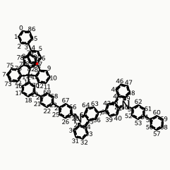 c1ccc(-c2ccc(-c3ccccc3C3(c4cccc(-c5ccc(-c6ccc(-n7c8ccccc8c8cc(-c9ccc%10c(c9)c9ccccc9n%10-c9ccc(-c%10ccccc%10)cc9)ccc87)cc6)cc5)c4)c4ccccc4-c4ccccc43)cc2)cc1